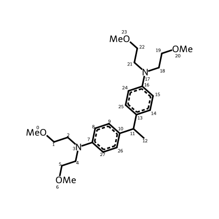 COCCN(CCOC)c1ccc(C(C)c2ccc(N(CCOC)CCOC)cc2)cc1